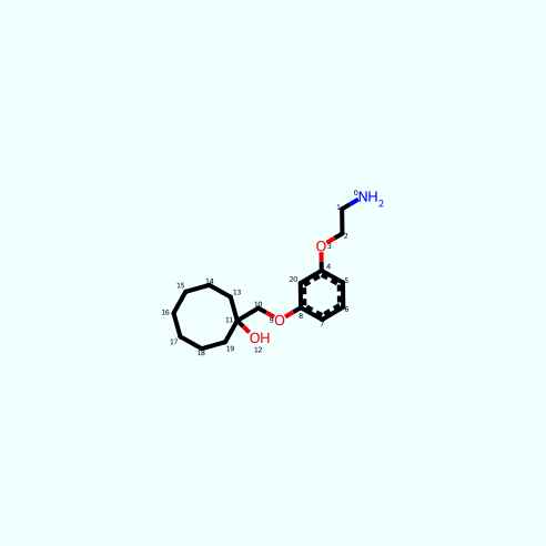 NCCOc1cccc(OCC2(O)CCCCCCC2)c1